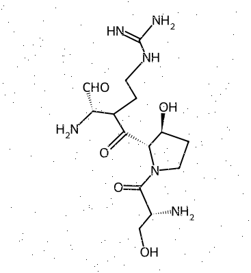 N=C(N)NCCC(C(=O)[C@@H]1[C@@H](O)CCN1C(=O)[C@H](N)CO)[C@H](N)C=O